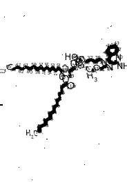 CCCCCCCCCCCCCCCC(=O)OC[C@H](COP(=O)(O)OCCCCn1c(COCC)nc2c(N)nc3ccccc3c21)OC(=O)CCCCCCCCCCCCCCC